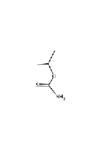 C[C](C)OC(N)=S